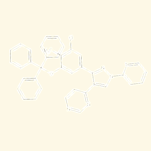 Cc1c(Cl)cc(-c2nn(-c3ccccn3)cc2-c2ccncn2)cc1OC(c1ccccc1)(c1ccccc1)c1ccccc1